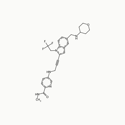 CNC(=O)c1ccc(NCC#Cc2cc3cc(CNC4CCOCC4)ccc3n2CC(F)(F)F)cn1